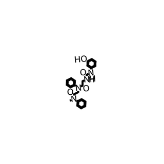 CN(C(=O)CN(C(=O)CNC(=O)Nc1cccc(O)c1)c1ccccc1)c1ccccc1